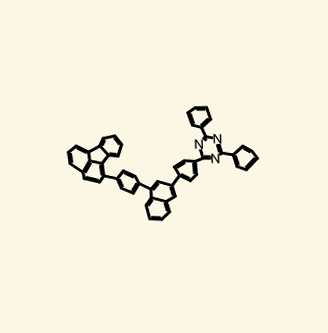 c1ccc(-c2nc(-c3ccccc3)nc(-c3ccc(-c4cc(-c5ccc(-c6ccc7cccc8c7c6-c6ccccc6-8)cc5)c5ccccc5c4)cc3)n2)cc1